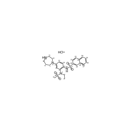 CCN(c1cc(N2CCCNCC2)ccc1NS(=O)(=O)c1ccc2cccnc2c1)S(C)(=O)=O.Cl